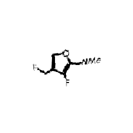 CNc1occ(CF)c1F